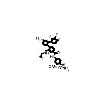 COc1cc(NC(=O)c2ccc(-c3ccc(C)cc3-c3ccc(F)c(F)c3F)c(CNCC(F)F)c2)ccc1S(N)(=O)=O